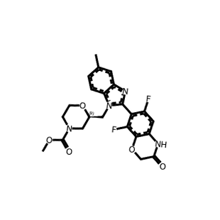 COC(=O)N1CCO[C@@H](Cn2c(-c3c(F)cc4c(c3F)OCC(=O)N4)nc3cc(C)ccc32)C1